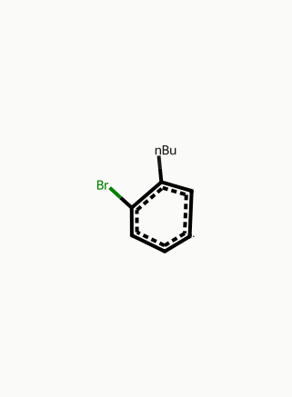 CCCCc1c[c]ccc1Br